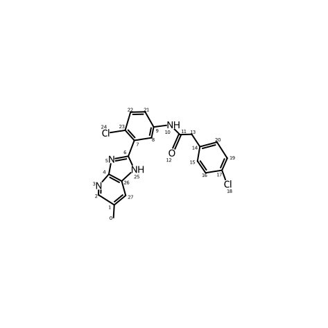 Cc1cnc2nc(-c3cc(NC(=O)Cc4ccc(Cl)cc4)ccc3Cl)[nH]c2c1